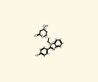 O=C1C[C@@H](O)C[C@H](CCn2c(-c3ccc(F)cc3)nc3ccccc32)O1